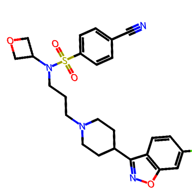 N#Cc1ccc(S(=O)(=O)N(CCCN2CCC(c3noc4cc(F)ccc34)CC2)C2COC2)cc1